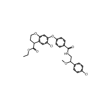 CCOC(=O)C1CCOc2cc(Oc3ccc(C(=O)NCC(OC)c4ccc(Cl)cc4)cc3)c(Cl)cc21